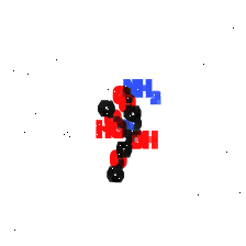 C[C@H](Cc1ccc(OCC(N)=O)cc1)N(C[C@@H](O)COc1ccccc1)C[C@@H](O)c1ccc(OCc2ccccc2)cc1